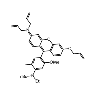 C=CCOc1ccc2c(-c3cc(C)c(N(CC)CCCC)cc3OC)c3ccc(=[N+](CC=C)CC=C)cc-3oc2c1